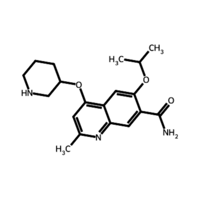 Cc1cc(OC2CCCNC2)c2cc(OC(C)C)c(C(N)=O)cc2n1